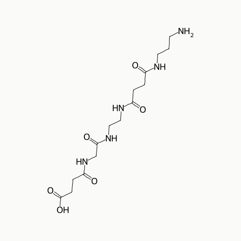 NCCCNC(=O)CCC(=O)NCCNC(=O)CNC(=O)CCC(=O)O